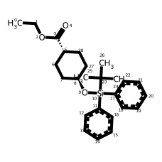 CCOC(=O)[C@H]1CC[C@H](O[Si](c2ccccc2)(c2ccccc2)C(C)(C)C)CC1